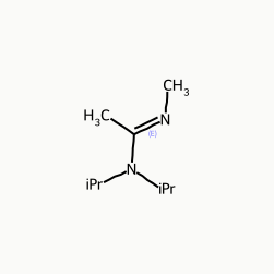 C/N=C(\C)N(C(C)C)C(C)C